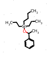 CCC[CH2][Sn]([CH2]CC)([CH2]CC)[O]C(C)c1ccccc1